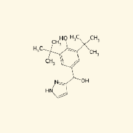 CC(C)(C)c1cc(C(O)c2cc[nH]n2)cc(C(C)(C)C)c1O